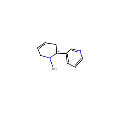 O=NN1CC=CC[C@H]1c1cccnc1